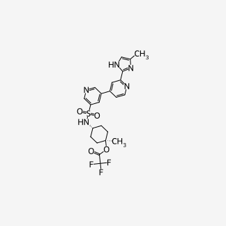 Cc1c[nH]c(-c2cc(-c3cncc(S(=O)(=O)N[C@H]4CC[C@](C)(OC(=O)C(F)(F)F)CC4)c3)ccn2)n1